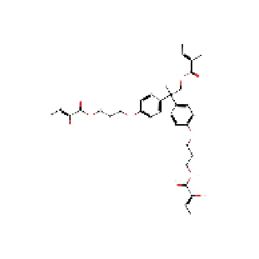 CC=C(C)C(=O)OCC(C)(c1ccc(OCCCOC(=O)C(O)=CC)cc1)c1ccc(OCCCOC(=O)C(O)=CC)cc1